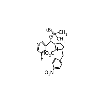 CC(C)(C)[Si](C)(C)O[C@H](c1cncc(F)c1)[C@H]1CC[C@@H](Cc2ccc([N+](=O)[O-])cc2)N1C(=O)O